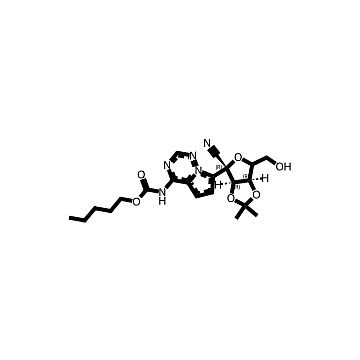 CCCCCOC(=O)Nc1ncnn2c([C@]3(C#N)OC(CO)[C@H]4OC(C)(C)O[C@H]43)ccc12